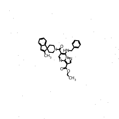 CCOC(=O)c1cnn2c(NCc3ccccc3)c(C(=O)N3CCC4(CC3)C(C)=Cc3ccccc34)cnc12